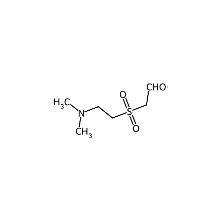 CN(C)CCS(=O)(=O)C[C]=O